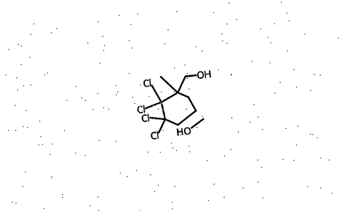 CC1(CO)CCCC(Cl)(Cl)C1(Cl)Cl.CO